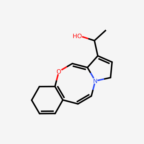 CC(O)C1=CCn2ccc3c(occ21)CCC=C3